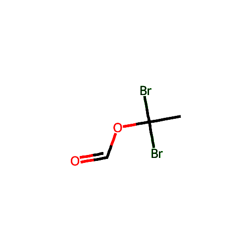 CC(Br)(Br)OC=O